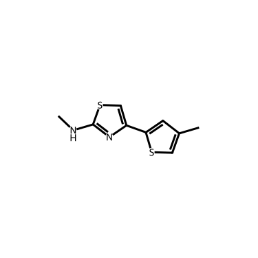 CNc1nc(-c2cc(C)cs2)cs1